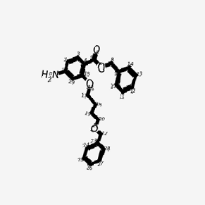 Nc1ccc(C(=O)OCc2ccccc2)c(OCCCCOCc2ccccc2)c1